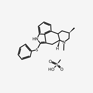 CS(=O)(=O)O.C[C@@H]1CC2c3cccc4[nH]c(Sc5ccccc5)c(c34)C[C@H]2N(C)C1